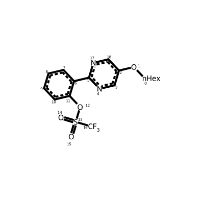 CCCCCCOc1cnc(-c2ccccc2OS(=O)(=O)C(F)(F)F)nc1